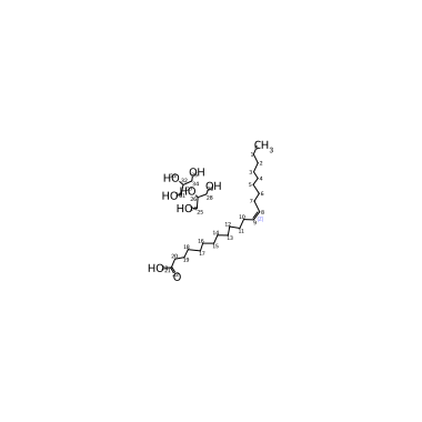 CCCCCCCC/C=C\CCCCCCCCCCCC(=O)O.OCC(O)CO.OCC(O)CO